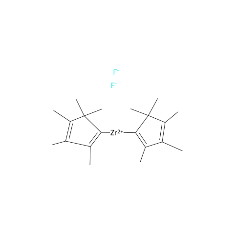 CC1=C(C)C(C)(C)[C]([Zr+2][C]2=C(C)C(C)=C(C)C2(C)C)=C1C.[F-].[F-]